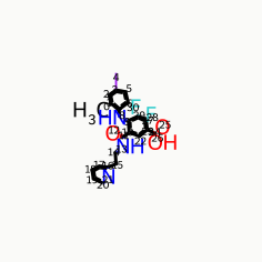 Cc1cc(I)ccc1Nc1c(C(=O)NCCc2ccccn2)cc(C(=O)O)c(F)c1F